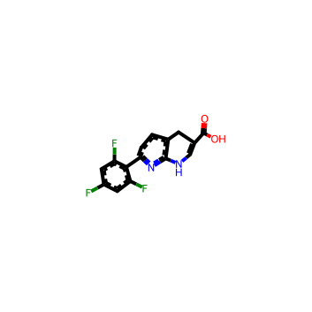 O=C(O)C1=CNc2nc(-c3c(F)cc(F)cc3F)ccc2C1